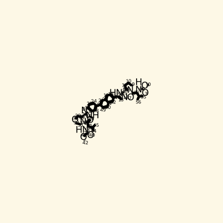 COC(=O)N[C@H](C(=O)N1CCC[C@H]1c1ncc(-c2ccc3cc(-c4ccc5nc([C@@H]6COCCN6C(=O)[C@@H](NC(=O)OC)C(C)C)[nH]c5c4)ccc3c2)[nH]1)C(C)C